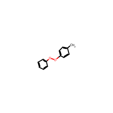 Cc1ccc(OOc2cc[c]cc2)cc1